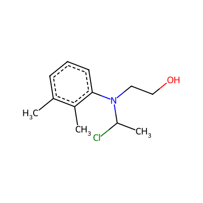 Cc1cccc(N(CCO)C(C)Cl)c1C